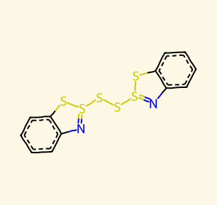 c1ccc2c(c1)N=S(SSS1=Nc3ccccc3S1)S2